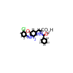 Nc1cccc(Cl)c1Oc1cccc(C=C(NC(=O)c2ccccc2)C(=O)O)c1